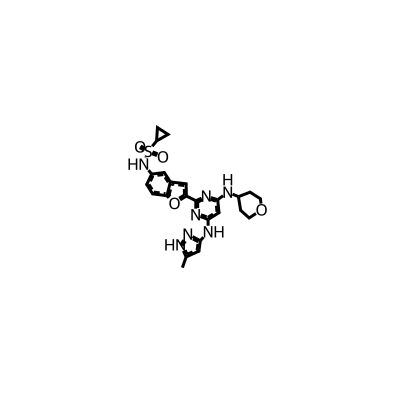 Cc1cc(Nc2cc(NC3CCOCC3)nc(-c3cc4cc(NS(=O)(=O)C5CC5)ccc4o3)n2)n[nH]1